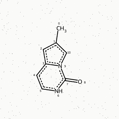 Cc1cc2cc[nH]c(=O)n2c1